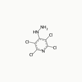 NNc1c(Cl)c(Cl)nc(Cl)c1Cl